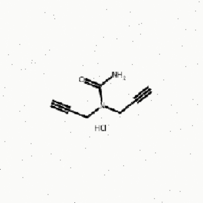 C#CCN(CC#C)C(N)=O.Cl